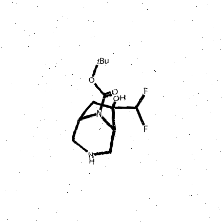 CC(C)(C)OC(=O)N1C2CNCC1C(O)(C(F)F)C2